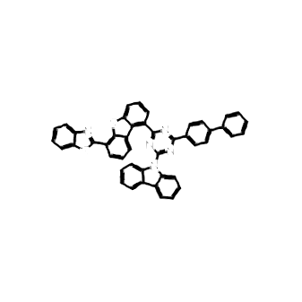 c1ccc(-c2ccc(-c3nc(-c4cccc5sc6c(-c7nc8ccccc8s7)cccc6c45)nc(-n4c5ccccc5c5ccccc54)n3)cc2)cc1